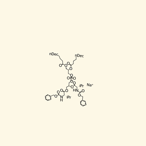 CCCCCCCCCCCCCC(=O)OC[C@H](COP(=O)([O-])OCC(COC(=O)[C@@H](NC(=O)OCc1ccccc1)C(C)C)OC(=O)[C@@H](NC(=O)OCc1ccccc1)C(C)C)OC(=O)CCCCCCCCCCCCC.[Na+]